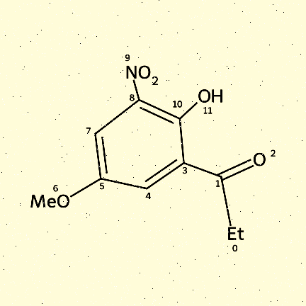 CCC(=O)c1cc(OC)cc([N+](=O)[O-])c1O